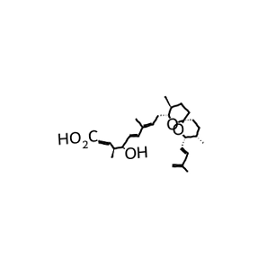 C=C(C)/C=C/[C@@H]1O[C@]2(CC[C@@H]1C)CC[C@H](C)[C@@H](C/C=C(C)/C=C/[C@H](O)[C@@H](C)/C=C/C(=O)O)O2